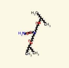 CCCCCCC(CCCCCC)CCCOC(=O)CCCCCCCN(CCCCCCCC(=O)OCCCC(CCCCCC)CCCCCC)CCOCCOCCN